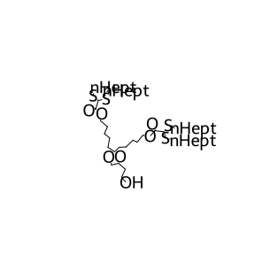 CCCCCCCSC(SCCCCCCC)C(=O)OCCCCCC1(CCCCCOC(=O)C(SCCCCCCC)SCCCCCCC)OCC(CCO)O1